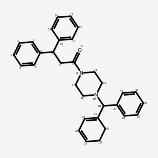 O=C(CC(c1ccccc1)c1ccccc1)N1CCN(C(C2=CC=CCC2)c2ccccc2)CC1